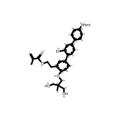 C=C(C)C(=O)OCCc1cc(-c2ccc(-c3ccc(CCCCC)cc3)cc2CC)ccc1OCC(C)(CO)CO